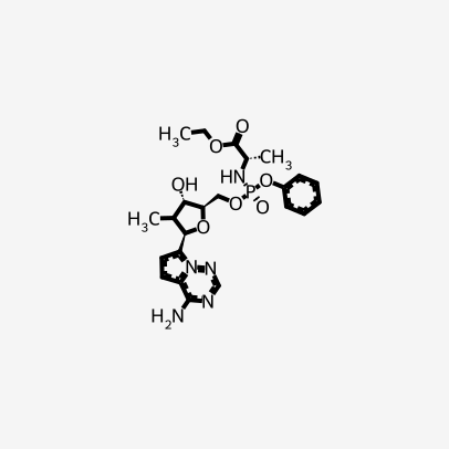 CCOC(=O)[C@H](C)NP(=O)(OC[C@H]1O[C@@H](c2ccc3c(N)ncnn23)C(C)[C@@H]1O)Oc1ccccc1